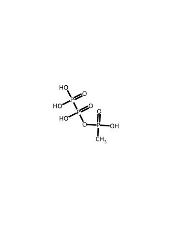 CP(=O)(O)OP(=O)(O)P(=O)(O)O